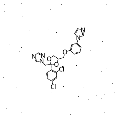 Clc1ccc(C2(Cn3cncn3)OCC(COc3cccc(-n4ccnc4)c3)O2)c(Cl)c1